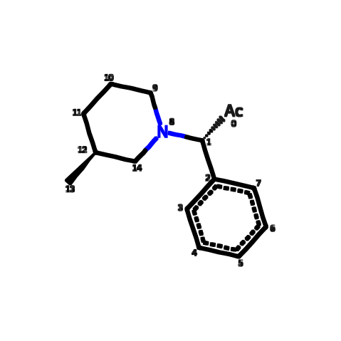 CC(=O)[C@H](c1ccccc1)N1CCC[C@H](C)C1